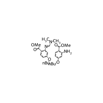 CCCCOc1ccc(C(=O)OC)c(N)c1.CCCCOc1ccc(C(=O)OC)c(N=CN(C)C)c1